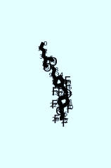 CCCCC1COC(CCc2cc(F)c(C(F)(F)Oc3cc(F)c(OC=C(F)F)c(F)c3)c(F)c2)OC1